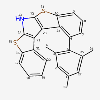 Cc1cc(C)c(-c2cccc3sc4[nH]c5sc6ccccc6c5c4c23)c(C)c1